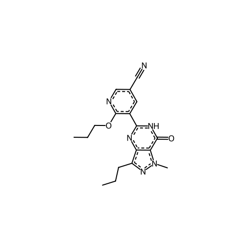 CCCOc1ncc(C#N)cc1-c1nc2c(CCC)nn(C)c2c(=O)[nH]1